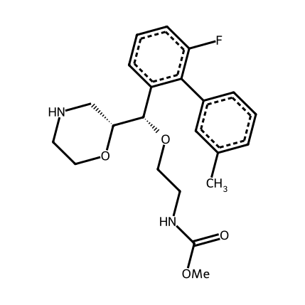 COC(=O)NCCO[C@@H](c1cccc(F)c1-c1cccc(C)c1)[C@H]1CNCCO1